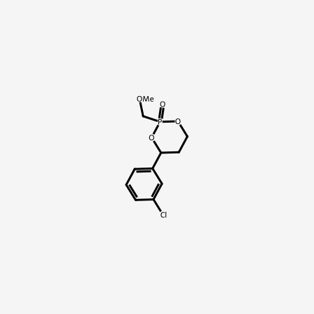 COCP1(=O)OCCC(c2cccc(Cl)c2)O1